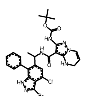 CC(NC(=O)c1c(NC(=O)OC(C)(C)C)nn2c1NCC=C2)c1cc(Cl)c2c(Br)n[nH]c2c1-c1ccccc1